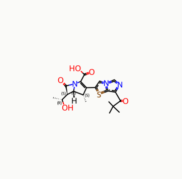 C[C@@H](O)[C@H]1C(=O)N2C(C(=O)O)=C(c3cn4cnc(C(=O)C(C)(C)C)c4s3)[C@H](C)[C@H]12